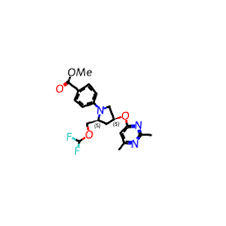 COC(=O)c1ccc(N2C[C@@H](Oc3cc(C)nc(C)n3)C[C@H]2COC(F)F)cc1